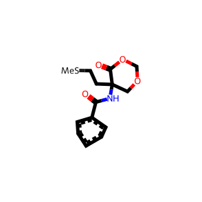 CSCCC1(NC(=O)c2ccccc2)COCOC1=O